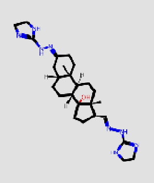 C[C@]12CC/C(=N/NC3=NCCN3)C[C@H]1CC[C@@H]1[C@@H]2CC[C@]2(C)[C@@H](/C=N/NC3=NCCN3)CC[C@]12O